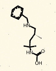 C[C@@H](CNCc1ccccc1)CC(C)(C)NC(=O)O